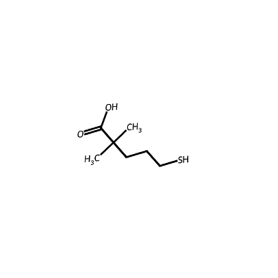 CC(C)(CCCS)C(=O)O